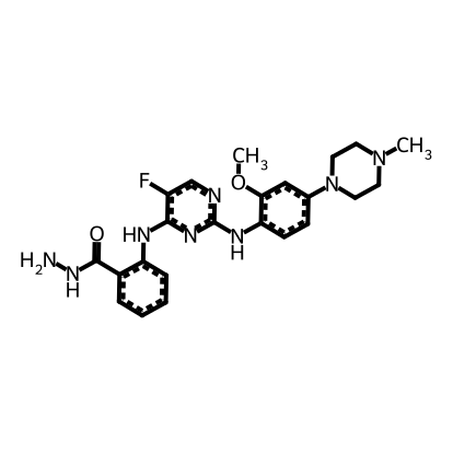 COc1cc(N2CCN(C)CC2)ccc1Nc1ncc(F)c(Nc2ccccc2C(=O)NN)n1